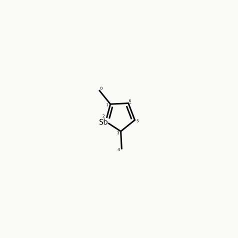 C[C]1=[Sb][CH](C)C=[C]1